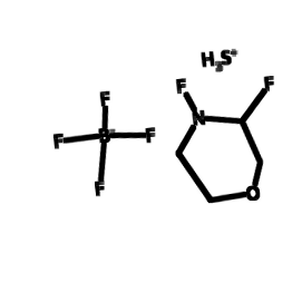 FC1COCCN1F.F[B-](F)(F)F.[SH3+]